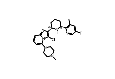 Cc1cc(F)cnc1[C@@H]1CCC[C@H](c2nc3cccc(N4CCN(C)CC4)n3c2Cl)N1